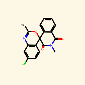 CN1C(=O)c2ccccc2C2(OC(C(C)(C)C)=Nc3cc(Cl)ccc32)C1=O